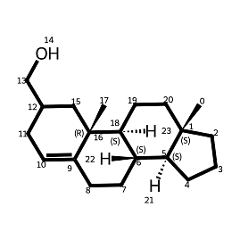 C[C@@]12CCC[C@H]1[C@@H]1CCC3=CCC(CO)C[C@]3(C)[C@H]1CC2